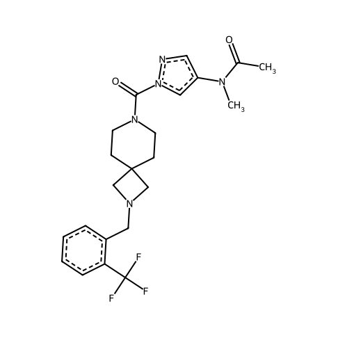 CC(=O)N(C)c1cnn(C(=O)N2CCC3(CC2)CN(Cc2ccccc2C(F)(F)F)C3)c1